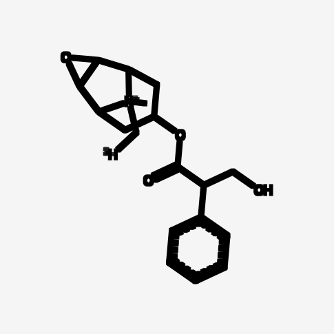 [3H]C[N+]1(C)C2CC(OC(=O)C(CO)c3ccccc3)CC1C1OC12